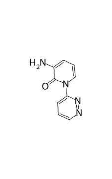 Nc1cccn(-c2cccnn2)c1=O